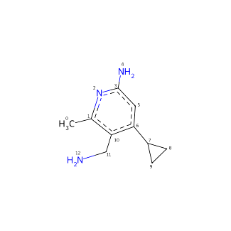 Cc1nc(N)cc(C2CC2)c1CN